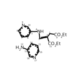 CCOC(=O)CC(=CNc1cccnc1)C(=O)OCC.Nc1cccnc1